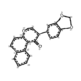 O=c1c(-c2ccc3c(c2)OCO3)coc2ccc3ccccc3c12